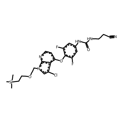 C[Si](C)(C)CCOCn1cc(Cl)c2c(Oc3c(F)cc(NC(=O)NCCC#N)cc3F)ccnc21